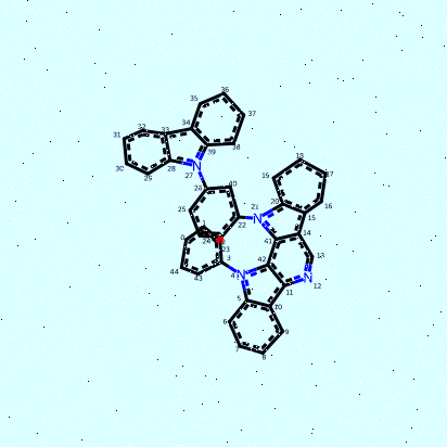 c1ccc(-n2c3ccccc3c3ncc4c5ccccc5n(-c5cccc(-n6c7ccccc7c7ccccc76)c5)c4c32)cc1